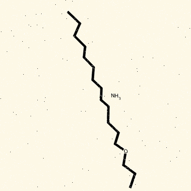 CCCCCCCCCCCCCOCCC.N